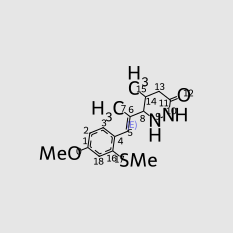 COc1ccc(/C=C(\C)C2NNC(=O)CC2C)c(SC)c1